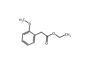 CCOC(=O)[CH]c1ccccc1OC